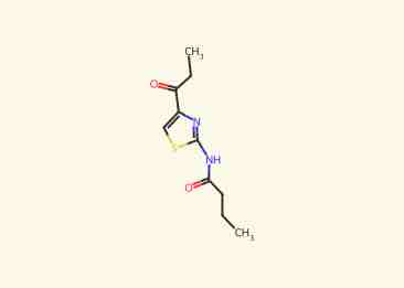 CCCC(=O)Nc1nc(C(=O)CC)cs1